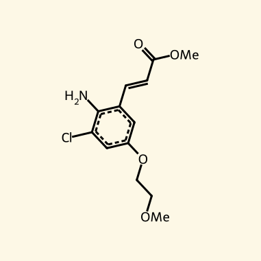 COCCOc1cc(Cl)c(N)c(C=CC(=O)OC)c1